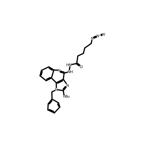 CCCCc1nc2c(NNC(=O)CCCCN=[N+]=[N-])nc3ccccc3c2n1Cc1ccccc1